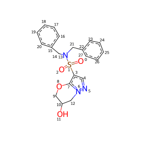 O=S(=O)(c1cnn2c1OCC(O)C2)N(Cc1ccccc1)Cc1ccccc1